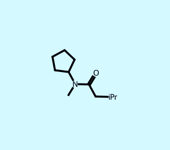 CC(C)CC(=O)N(C)C1CCCC1